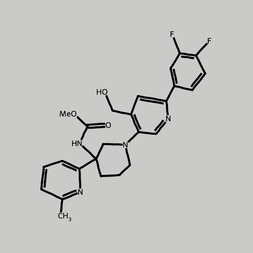 COC(=O)NC1(c2cccc(C)n2)CCCN(c2cnc(-c3ccc(F)c(F)c3)cc2CO)C1